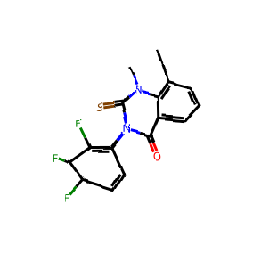 Cc1cccc2c(=O)n(C3=C(F)C(F)C(F)C=C3)c(=S)n(C)c12